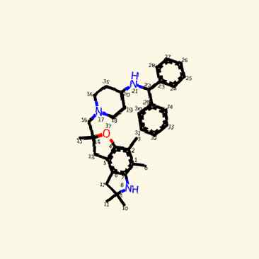 Cc1c(C)c2c(c3c1NC(C)(C)C3)CC(C)(CN1CCC(NC(c3ccccc3)c3ccccc3)CC1)O2